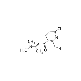 C/C(=C\C(=O)c1ccc(Cl)nc1CI)N(C)C